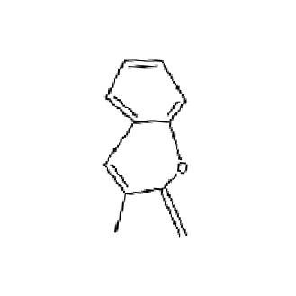 C=C1Oc2ccccc2C=C1C